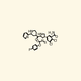 CCN(C(=O)Oc1ccc(F)cc1)[C@@H]1C(C(=O)C2CCNC(c3ccccn3)C2)NC[C@H]1c1cc(Cl)c(Cl)c(C(N)=O)c1